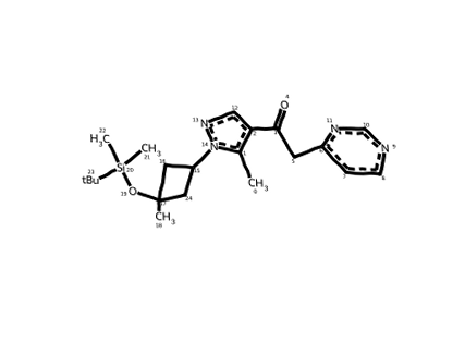 Cc1c(C(=O)Cc2ccncn2)cnn1C1CC(C)(O[Si](C)(C)C(C)(C)C)C1